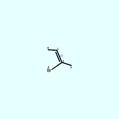 C/[C]=C(/C)Br